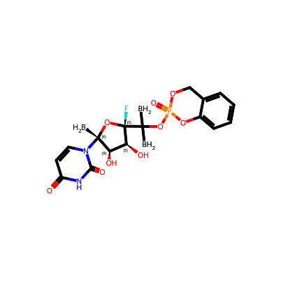 BC(B)(OP1(=O)OCc2ccccc2O1)[C@@]1(F)O[C@@](B)(n2ccc(=O)[nH]c2=O)[C@H](O)[C@@H]1O